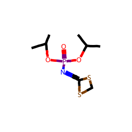 CC(C)OP(=O)(N=C1SCS1)OC(C)C